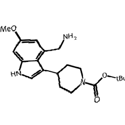 COc1cc(CN)c2c(C3CCN(C(=O)OC(C)(C)C)CC3)c[nH]c2c1